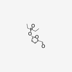 CCP(=O)(CC)Oc1ccc(C=O)o1